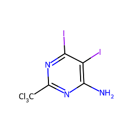 Nc1nc(C(Cl)(Cl)Cl)nc(I)c1I